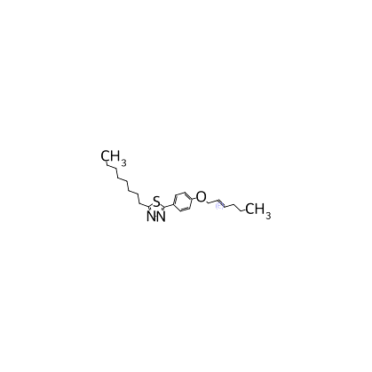 CCC/C=C/COc1ccc(-c2nnc(CCCCCCCC)s2)cc1